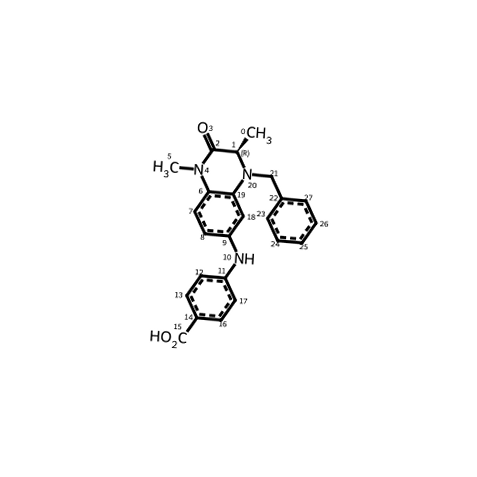 C[C@@H]1C(=O)N(C)c2ccc(Nc3ccc(C(=O)O)cc3)cc2N1Cc1ccccc1